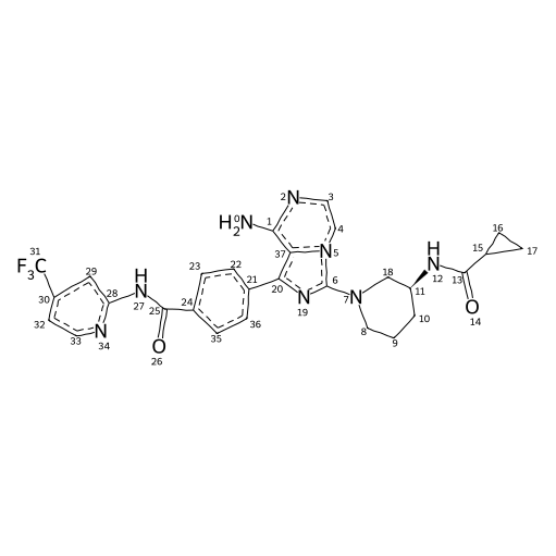 Nc1nccn2c(N3CCC[C@H](NC(=O)C4CC4)C3)nc(-c3ccc(C(=O)Nc4cc(C(F)(F)F)ccn4)cc3)c12